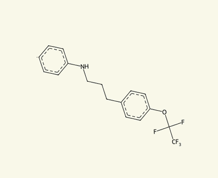 FC(F)(F)C(F)(F)Oc1ccc(CCCNc2cc[c]cc2)cc1